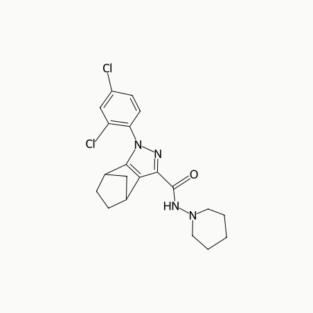 O=C(NN1CCCCC1)c1nn(-c2ccc(Cl)cc2Cl)c2c1C1CCC2C1